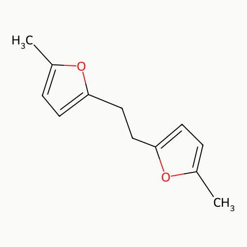 Cc1ccc(CCc2ccc(C)o2)o1